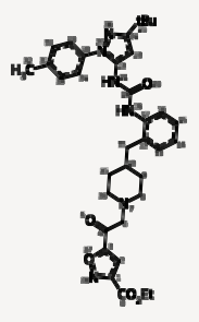 CCOC(=O)c1cc(C(=O)CN2CCC(Cc3ccccc3NC(=O)Nc3cc(C(C)(C)C)nn3-c3ccc(C)cc3)CC2)on1